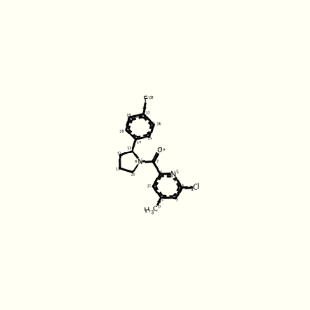 Cc1cc(Cl)nc(C(=O)N2CCCC2c2ccc(F)cc2)c1